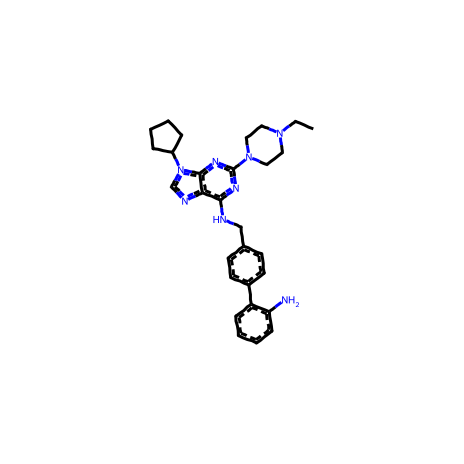 CCN1CCN(c2nc(NCc3ccc(-c4ccccc4N)cc3)c3ncn(C4CCCC4)c3n2)CC1